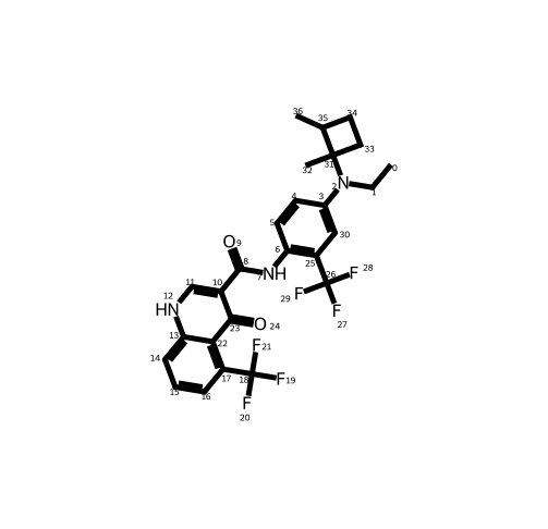 CCN(c1ccc(NC(=O)c2c[nH]c3cccc(C(F)(F)F)c3c2=O)c(C(F)(F)F)c1)C1(C)CCC1C